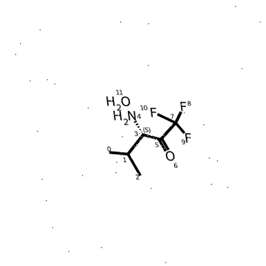 CC(C)[C@H](N)C(=O)C(F)(F)F.O